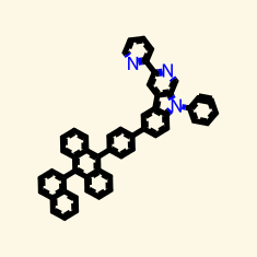 c1cccc(-n2c3ccc(-c4ccc(-c5c6ccccc6c(-c6cccc7ccccc67)c6ccccc56)cc4)cc3c3cc(-c4ccccn4)ncc32)c#1